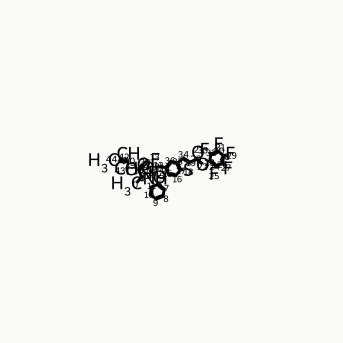 CC(N[P@@](=O)(Oc1ccccc1)[C@@H](F)c1ccc2sc(C(=O)Oc3c(F)c(F)c(F)c(F)c3F)cc2c1)C(=O)OCC(C)(C)C